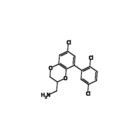 NCC1COc2cc(Cl)cc(-c3cc(Cl)ccc3Cl)c2O1